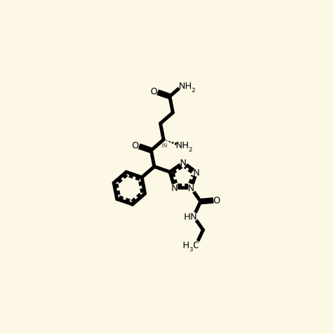 CCNC(=O)n1nnc([C](C(=O)[C@@H](N)CCC(N)=O)c2ccccc2)n1